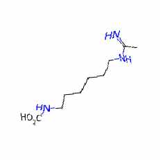 CC(=N)NCCCCCCNC(=O)O